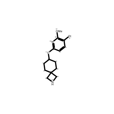 CCc1ccc(OC2CCC3(CC2)CNC3)nc1OC